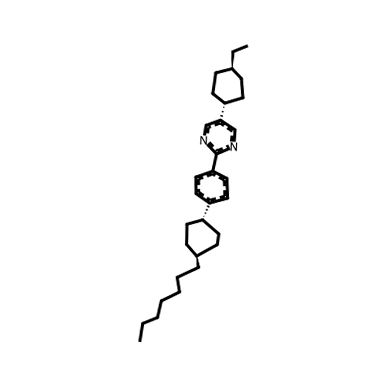 CCCCCCC[C@H]1CC[C@H](c2ccc(-c3ncc([C@H]4CC[C@H](CC)CC4)cn3)cc2)CC1